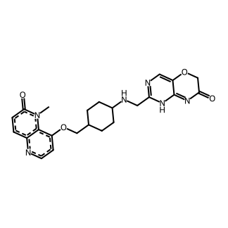 Cn1c(=O)ccc2nccc(OCC3CCC(NCC4=NC=C5OCC(=O)N=C5N4)CC3)c21